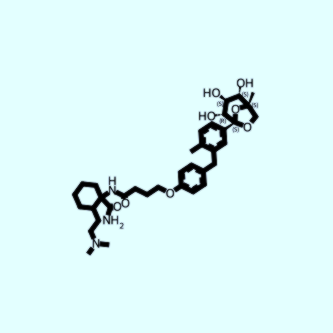 Cc1ccc([C@]23OC[C@](C)(O2)[C@@H](O)[C@H](O)[C@H]3O)cc1Cc1ccc(OCCCC(=O)NC2(C(N)=O)CCCCC2CCN(C)C)cc1